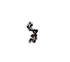 C=C1/C(C#Cc2cnc(C3CCCN3C(=O)C(NC(=O)OC)C(C)C)[nH]2)=C\C=C(\c2ccc(-c3cnc(C4CCCN4C(=O)C(NC(=O)OC)C(C)C)[nH]3)c3c2C2CC(C)CC3N2)CC2CCC1C2